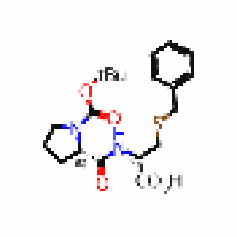 CC(C)(C)OC(=O)N1CCC[C@H]1C(=O)N[C@@H](CSCc1ccccc1)C(=O)O